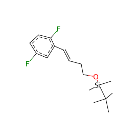 CC(C)(C)[Si](C)(C)OCCC=Cc1cc(F)ccc1F